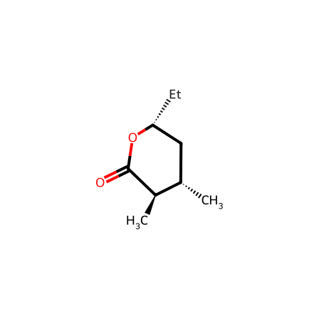 CC[C@@H]1C[C@H](C)[C@@H](C)C(=O)O1